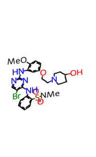 CNS(=O)(=O)c1ccccc1Nc1nc(Nc2cc(OCCN3CCC(O)CC3)ccc2OC)ncc1Br